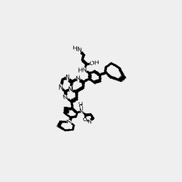 N=C/C=C(\O)Nc1cc(C2CCCCCC2)ccc1C1=NC2=NC=NC3=NC(c4ccc(N5CCCCC5)cc4Nc4ccno4)=CC(=C1)N23